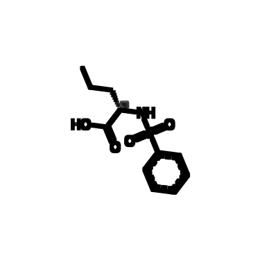 CCC[C@H](NS(=O)(=O)c1ccccc1)C(=O)O